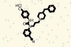 Cl.N#Cc1cccc(N(CCCN2CCC(Cc3ccccc3)CC2)C(=O)Nc2ccc(Cl)cc2)c1